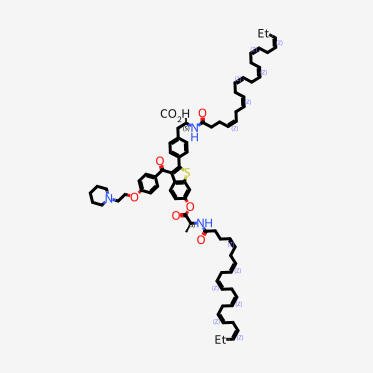 CC/C=C\C/C=C\C/C=C\C/C=C\C/C=C\C/C=C\CCC(=O)N[C@@H](C)C(=O)Oc1ccc2c(C(=O)c3ccc(OCCN4CCCCC4)cc3)c(-c3ccc(C[C@H](NC(=O)CC/C=C\C/C=C\C/C=C\C/C=C\C/C=C\C/C=C\CC)C(=O)O)cc3)sc2c1